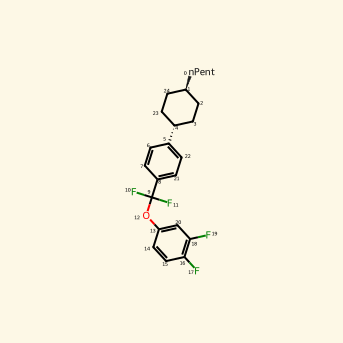 CCCCC[C@H]1CC[C@H](c2ccc(C(F)(F)Oc3ccc(F)c(F)c3)cc2)CC1